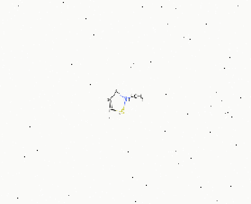 CN1C[C]=CS1